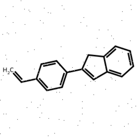 C=Cc1ccc(C2=Cc3ccccc3C2)cc1